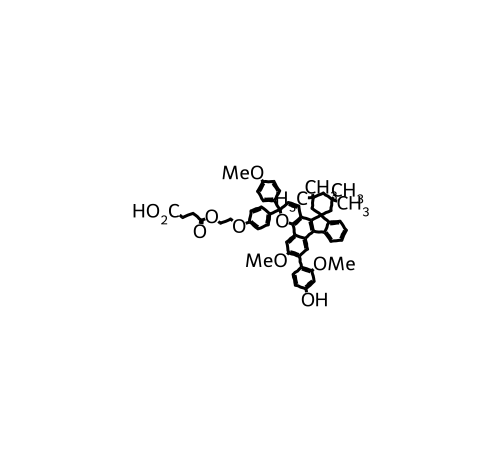 COc1ccc(C2(c3ccc(OCCOC(=O)CCC(=O)O)cc3)C=Cc3c4c(c5cc(-c6ccc(O)cc6OC)c(OC)cc5c3O2)-c2ccccc2C42CC(C)(C)CC(C)(C)C2)cc1